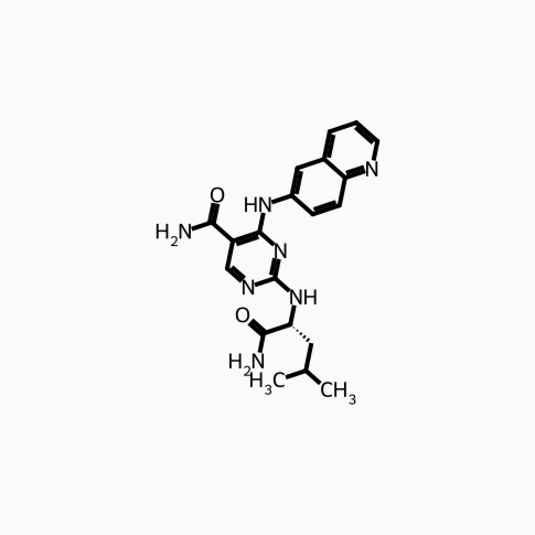 CC(C)C[C@@H](Nc1ncc(C(N)=O)c(Nc2ccc3ncccc3c2)n1)C(N)=O